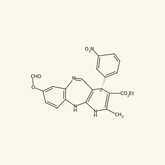 CCOC(=O)C1=C(C)NC2=C(C=Nc3cc(OC=O)ccc3N2)[C@@H]1c1cccc([N+](=O)[O-])c1